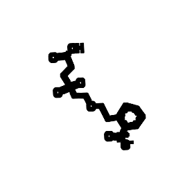 O=C(O)CCS(=O)(=O)CCOCCc1ccccc1[N+](=O)[O-]